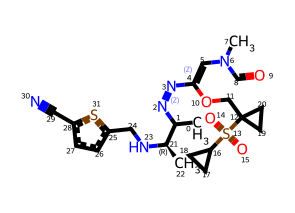 CC(/N=N\C(=C\N(C)C=O)OCC1(S(=O)(=O)C2CC2)CC1)[C@@H](C)NCc1ccc(C#N)s1